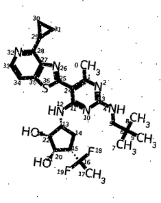 Cc1nc(NCC(C)(C)C)nc(N[C@@H]2C[C@H](C(C)(F)F)[C@@H](O)[C@H]2O)c1-c1nc2c(C3CC3)nccc2s1